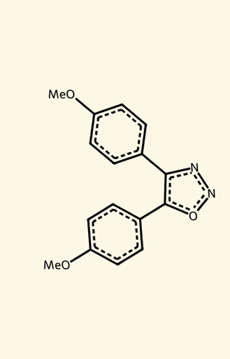 COc1ccc(-c2nnoc2-c2ccc(OC)cc2)cc1